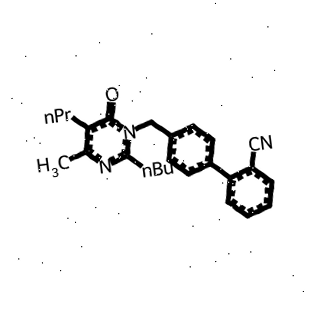 CCCCc1nc(C)c(CCC)c(=O)n1Cc1ccc(-c2ccccc2C#N)cc1